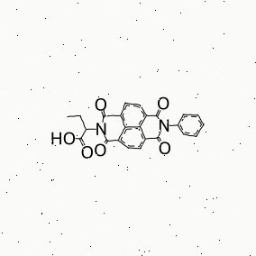 CCC(C(=O)O)N1C(=O)c2ccc3c4c(ccc(c24)C1=O)C(=O)N(c1ccccc1)C3=O